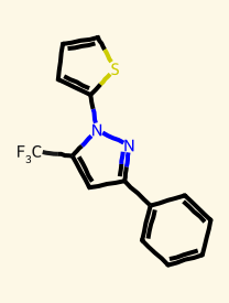 FC(F)(F)c1cc(-c2ccccc2)nn1-c1cccs1